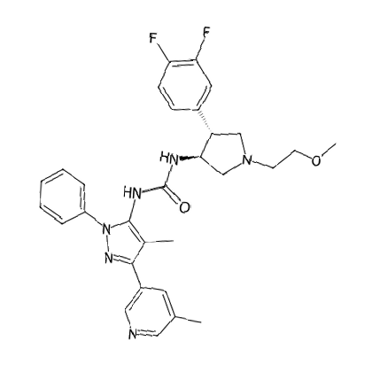 COCCN1C[C@@H](NC(=O)Nc2c(C)c(-c3cncc(C)c3)nn2-c2ccccc2)[C@H](c2ccc(F)c(F)c2)C1